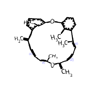 C=C1/C=C\C=C(/C)c2cccc(c2C)Oc2cccc(c2C)C(=C)/C=C\C=C(/C)O1